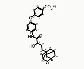 CCOC(=O)c1ccc(Oc2ccc(NC(=O)C(O)CCC34CC5CC(CC(C5)C3)C4)cc2)cc1